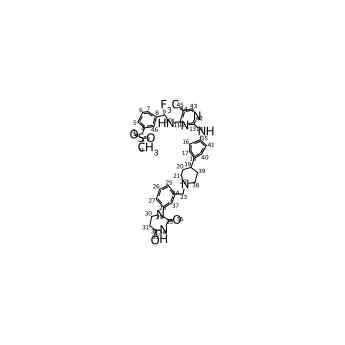 CS(=O)(=O)c1cccc(CNc2nc(Nc3ccc(C4CCN(Cc5cccc(N6CCC(=O)NC6=O)c5)CC4)cc3)ncc2C(F)(F)F)c1